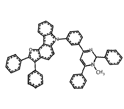 CN1C(c2ccccc2)=CC(c2cccc(-n3c4ccccc4c4c5oc(-c6ccccc6)c(-c6ccccc6)c5ccc43)c2)=NC1c1ccccc1